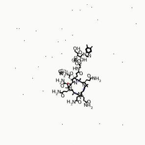 C/C1=C2/[N-]C([C@H](CC(N)=O)[C@@]2(C)CCC(=O)NC[C@H](C)OP(=O)([O-])OC2C(CO)OC(n3cnc4cc(C)c(C)cc43)C2O)[C@]2(C)N=C(/C(C)=C3N=C(/C=C4N=C1[C@@H](CCC(N)=O)C\4(C)C)[C@@H](CCC(N)=O)[C@]\3(C)CC(N)=O)[C@@H](CCC(N)=O)[C@]2(C)CC(N)=O.[C-]#N.[Co+3]